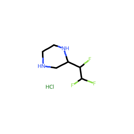 Cl.FC(F)C(F)C1CNCCN1